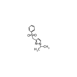 CC(C)n1ccc(CS(=O)(=O)c2ccccc2)n1